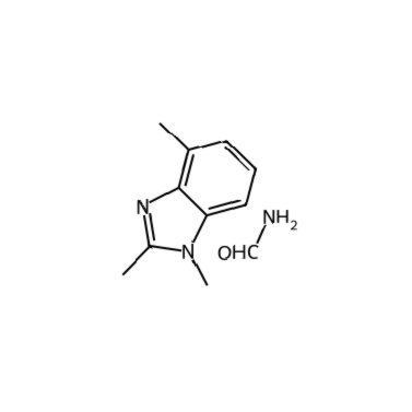 Cc1cccc2c1nc(C)n2C.NC=O